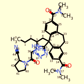 CCCC(CC1(c2nnn[nH]2)c2ccc(C(=O)N(C)C)cc2CCc2cc(C(=O)N(C)C)ccc21)NCC(=O)N1CCCC1C#N